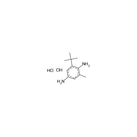 Cc1cc(N)cc(C(C)(C)C)c1N.Cl.Cl